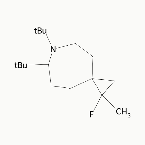 CC(C)(C)C1CCC2(CCN1C(C)(C)C)CC2(C)F